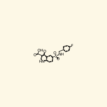 O=C(O)c1c[nH]c2ccc(S(=O)(=O)NCc3ccc(F)cc3)cc2c1=O